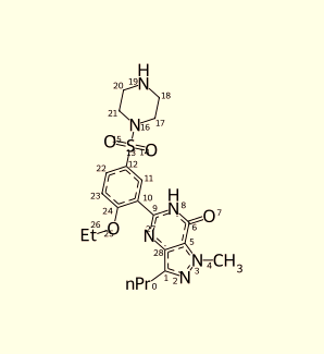 CCCc1nn(C)c2c(=O)[nH]c(-c3cc(S(=O)(=O)N4CCNCC4)ccc3OCC)nc12